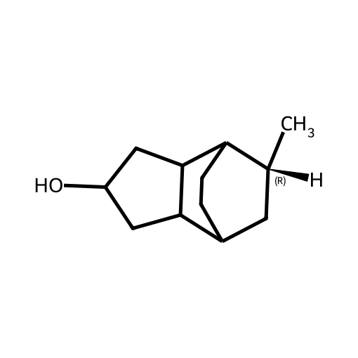 C[C@@H]1CC2CCC1C1CC(O)CC21